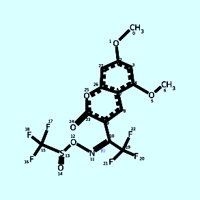 COc1cc(OC)c2cc(/C(=N\OS(=O)C(F)(F)F)C(F)(F)F)c(=O)oc2c1